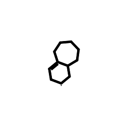 [CH]1CC=C2CCCCCC2C1